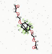 FC1(F)C2(F)C(F)(F)C3(OCCOCC4CO4)C(F)(F)C1(F)C(F)(F)C(OCCOCC1CO1)(C2(F)F)C3(F)F